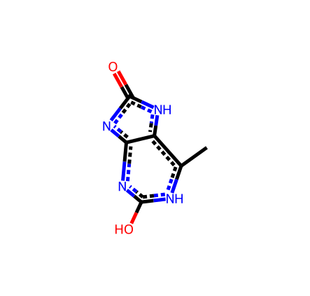 Cc1[nH]c(O)nc2nc(=O)[nH]c1-2